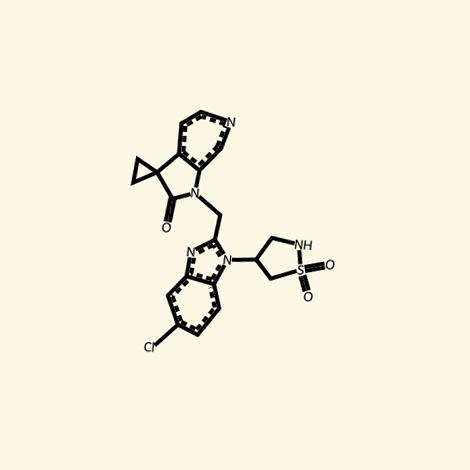 O=C1N(Cc2nc3cc(Cl)ccc3n2C2CNS(=O)(=O)C2)c2cnccc2C12CC2